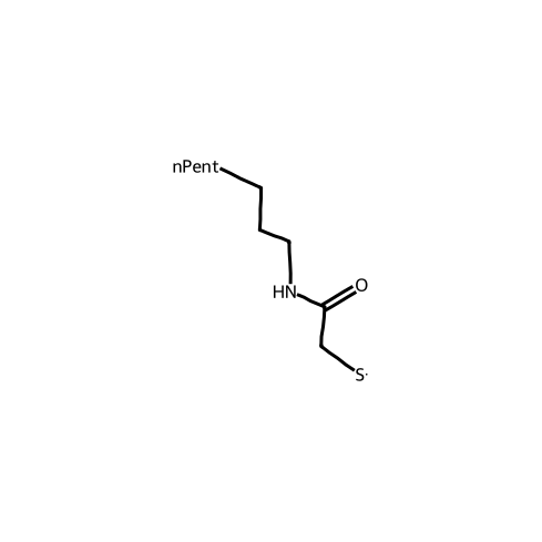 CCCCCCCCNC(=O)C[S]